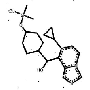 CC(C)(C)[Si](C)(C)OC1CCC(C(O)c2c(C3CC3)ccn3cncc23)CC1